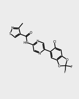 Cc1nscc1C(=O)Nc1cnc(-c2cc3c(cc2Cl)OC(F)(F)O3)cn1